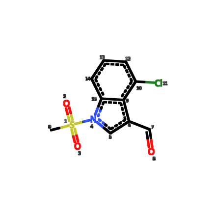 CS(=O)(=O)n1cc(C=O)c2c(Cl)cccc21